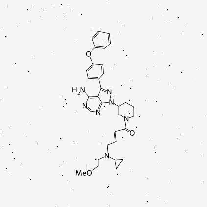 COCCN(CC=CC(=O)N1CCCC(n2nc(-c3ccc(Oc4ccccc4)cc3)c3c(N)ncnc32)C1)C1CC1